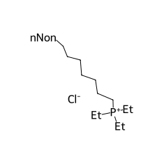 CCCCCCCCCCCCCCCC[P+](CC)(CC)CC.[Cl-]